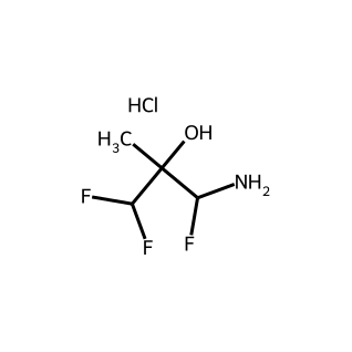 CC(O)(C(N)F)C(F)F.Cl